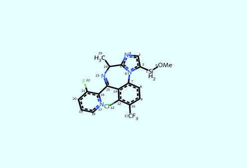 CO[SiH2]c1cnc2n1-c1ccc(C(F)(F)F)c(Cl)c1C(c1ncccc1F)=NC2C